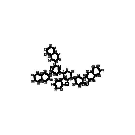 C1=C(c2nc(-c3ccc4ccccc4c3)nc(-c3ccc4ccccc4c3)n2)c2c(oc3ccccc23)C(c2ccc3oc4cc5ccccc5cc4c3c2)C1